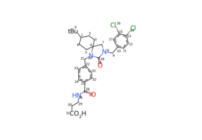 CC(C)(C)C1CCC2(CC1)CN(Cc1ccc(Cl)c(Cl)c1)C(=O)N2Cc1ccc(C(=O)NCCC(=O)O)cc1